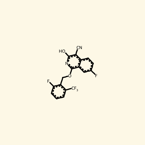 N#Cc1c(O)nc(OCc2c(F)cccc2C(F)(F)F)c2cc(F)ccc12